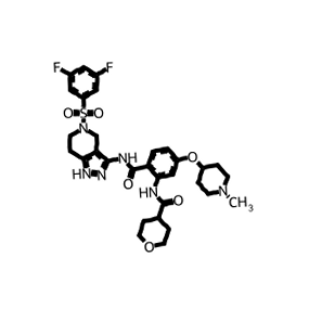 CN1CCC(Oc2ccc(C(=O)Nc3n[nH]c4c3CN(S(=O)(=O)c3cc(F)cc(F)c3)CC4)c(NC(=O)C3CCOCC3)c2)CC1